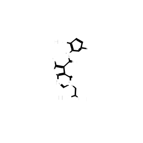 Cc1ccc(Cl)cc1NC(=O)c1c(C)oc2ncn(CC(C)C)c(=O)c12